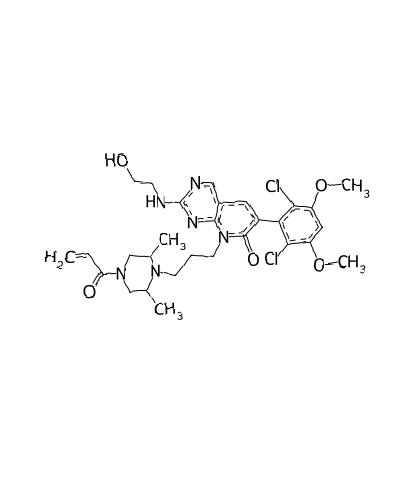 C=CC(=O)N1CC(C)N(CCCn2c(=O)c(-c3c(Cl)c(OC)cc(OC)c3Cl)cc3cnc(NCCO)nc32)C(C)C1